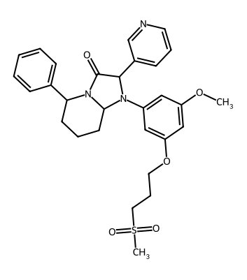 COc1cc(OCCCS(C)(=O)=O)cc(N2C(c3cccnc3)C(=O)N3C(c4ccccc4)CCCC32)c1